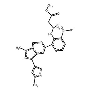 COC(=O)CC(C)Nc1c([N+](=O)[O-])ccnc1-c1ccc2c(c1)c(-c1cnn(C)c1)nn2C